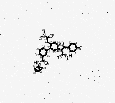 CNC(=O)c1c(-c2ccc(F)cc2)oc2cc(CC(=O)N(C)C)c(-c3cccc(C(=O)NC45CC46CC5C6)c3)cc12